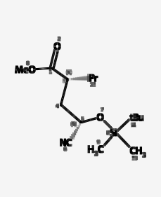 COC(=O)[C@@H](C[C@@H](C#N)O[Si](C)(C)C(C)(C)C)C(C)C